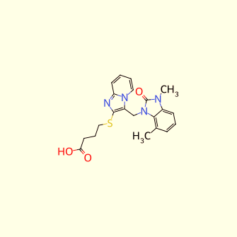 Cc1cccc2c1n(Cc1c(SCCCC(=O)O)nc3ccccn13)c(=O)n2C